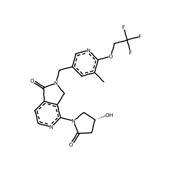 Cc1cc(CN2Cc3c(ccnc3N3C[C@H](O)CC3=O)C2=O)cnc1OCC(F)(F)F